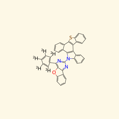 [2H]c1c([2H])c([2H])c(-c2nc(-n3c4ccccc4c4c5c6ccccc6sc5c5ccccc5c43)nc3c2oc2ccccc23)c([2H])c1[2H]